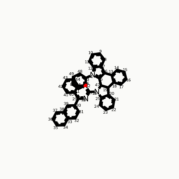 c1ccc(-n2c3c(c4ccccc42)-c2ccccc2C2c4ccccc4N(c4nc(-c5ccc6ccccc6c5)c5ccccc5n4)C32)cc1